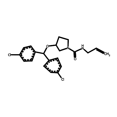 C=CCNC(=O)N1CCC(OC(c2ccc(Cl)cc2)c2ccc(Cl)cc2)C1